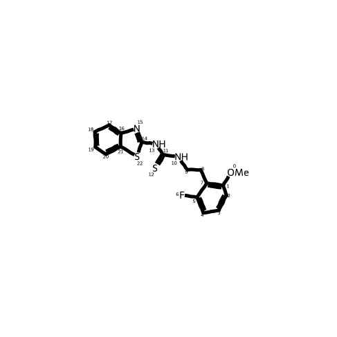 COc1cccc(F)c1CCNC(=S)Nc1nc2ccccc2s1